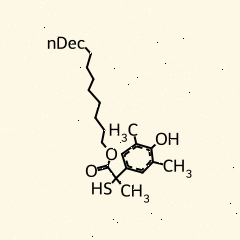 CCCCCCCCCCCCCCCCCCOC(=O)C(C)(S)c1cc(C)c(O)c(C)c1